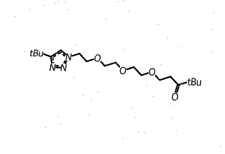 CC(C)(C)C(=O)CCOCCOCCOCCn1cc(C(C)(C)C)nn1